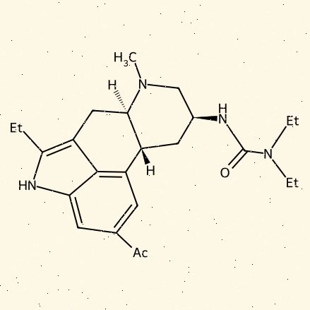 CCc1[nH]c2cc(C(C)=O)cc3c2c1C[C@@H]1[C@@H]3C[C@H](NC(=O)N(CC)CC)CN1C